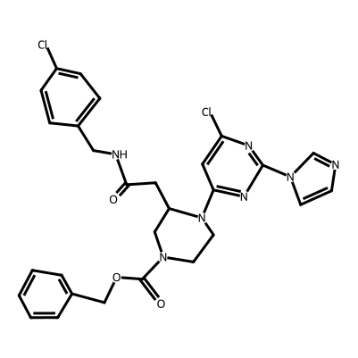 O=C(CC1CN(C(=O)OCc2ccccc2)CCN1c1cc(Cl)nc(-n2ccnc2)n1)NCc1ccc(Cl)cc1